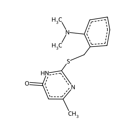 Cc1cc(=O)[nH]c(SCc2ccccc2N(C)C)n1